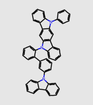 c1ccc(-n2c3ccccc3c3cc4c(cc32)c2ccccc2n4-c2ccccc2-c2cccc(-n3c4ccccc4c4ccccc43)c2)cc1